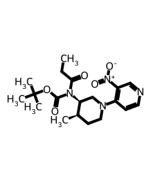 CCC(=O)N(C(=O)OC(C)(C)C)[C@H]1CN(c2ccncc2[N+](=O)[O-])CC[C@H]1C